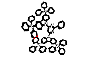 c1ccc(-c2nc(-n3c4ccc([Si](c5ccccc5)(c5ccccc5)c5ccccc5)cc4c4cc([Si](c5ccccc5)(c5ccccc5)c5ccccc5)ccc43)cc(-n3c4ccc([Si](c5ccccc5)(c5ccccc5)c5ccccc5)cc4c4cc([Si](c5ccccc5)(c5ccccc5)c5ccccc5)ccc43)n2)cc1